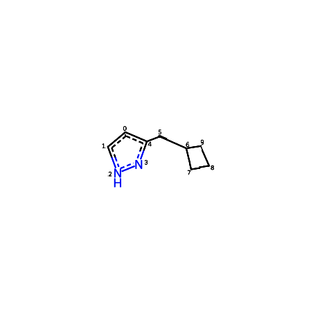 [c]1c[nH]nc1CC1CCC1